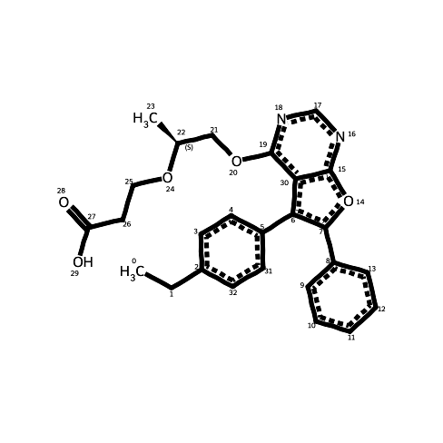 CCc1ccc(-c2c(-c3ccccc3)oc3ncnc(OC[C@H](C)OCCC(=O)O)c23)cc1